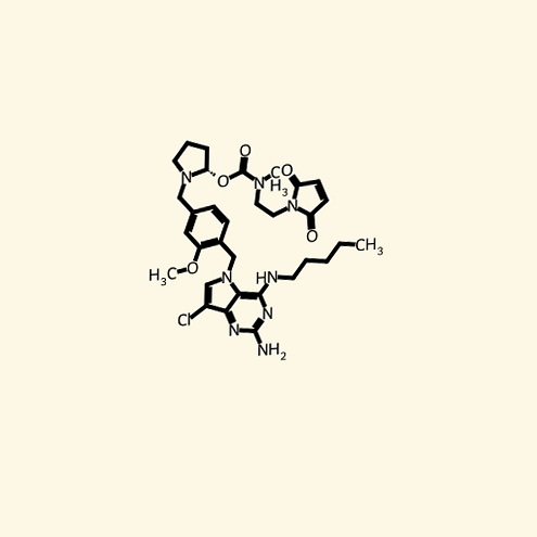 CCCCCNc1nc(N)nc2c(Cl)cn(Cc3ccc(CN4CCC[C@@H]4OC(=O)N(C)CCN4C(=O)C=CC4=O)cc3OC)c12